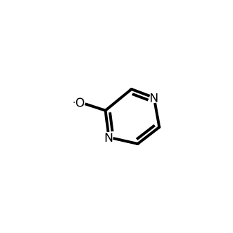 [O]c1cnccn1